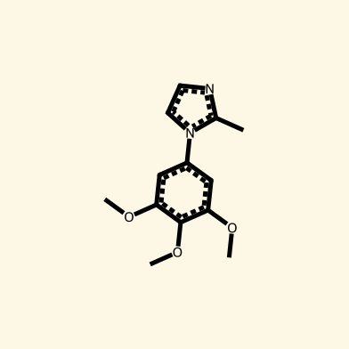 COc1cc(-n2ccnc2C)cc(OC)c1OC